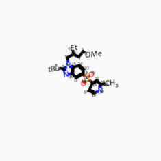 CCC(CCOC)Cn1c(C(C)(C)C)nc2cc(S(=O)(=O)c3ccnc(C)c3)ccc21